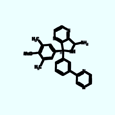 COc1c(C)cc([C@]2(c3cccc(-c4cnccn4)c3)NC(N)c3nccnc32)cc1C